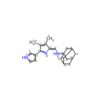 CC1=C(C)C(c2cc[nH]c2)=NC1=CNC12CC3CC(CC(C3)C1)C2